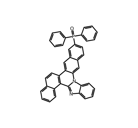 O=P(c1ccccc1)(c1ccccc1)c1ccc2cc3c(cc2c1)c1ccc2ccccc2c1c1nc2ccccc2n31